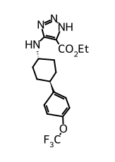 CCOC(=O)c1[nH]nnc1N[C@H]1CC[C@H](c2ccc(OC(F)(F)F)cc2)CC1